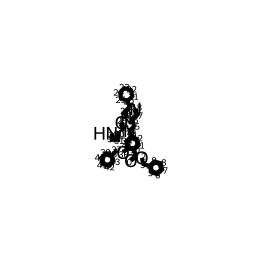 O=C(OCc1ccccc1)c1ccc(N(Cc2cnc(C3CCCCC3)cn2)C(=O)[C@H]2CCN2)cc1OCc1ccccc1